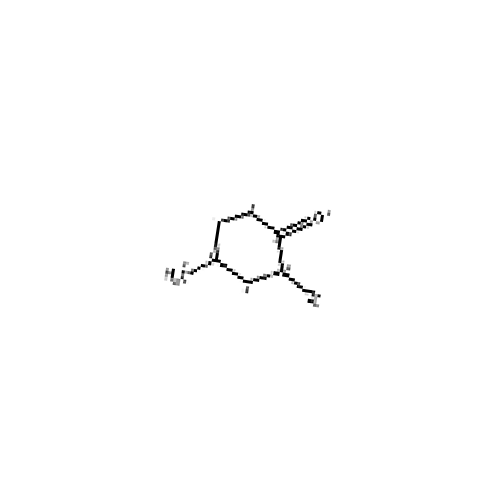 CC1CCC(=O)C(Br)C1